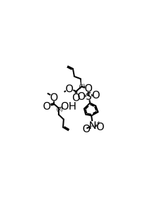 C=CCC[C@@H](O)C(=O)OC.C=CCC[C@@H](OS(=O)(=O)c1ccc([N+](=O)[O-])cc1)C(=O)OC